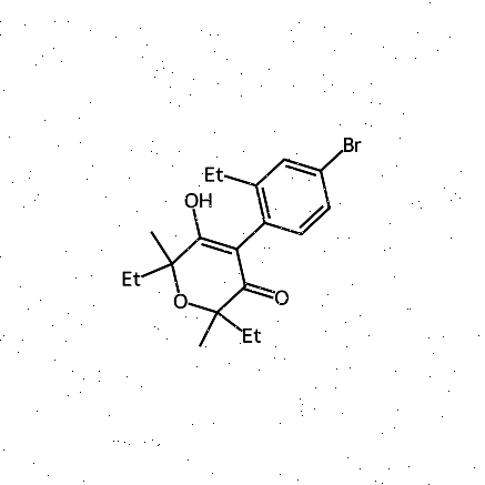 CCc1cc(Br)ccc1C1=C(O)C(C)(CC)OC(C)(CC)C1=O